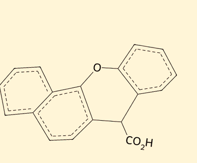 O=C(O)C1c2ccccc2Oc2c1ccc1ccccc21